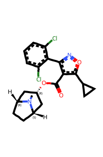 CN1[C@@H]2CC[C@H]1C[C@@H](OC(=O)c1c(-c3c(Cl)cccc3Cl)noc1C1CC1)C2